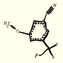 COc1cc(C#N)cc(C(F)(F)F)c1